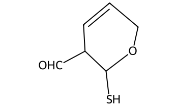 O=CC1C=CCOC1S